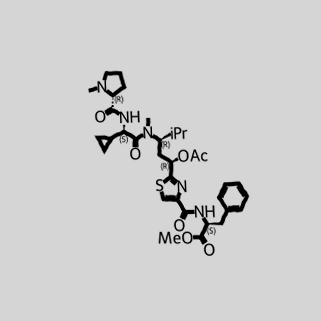 COC(=O)[C@H](Cc1ccccc1)NC(=O)c1csc([C@@H](C[C@H](C(C)C)N(C)C(=O)[C@@H](NC(=O)[C@H]2CCCN2C)C2CC2)OC(C)=O)n1